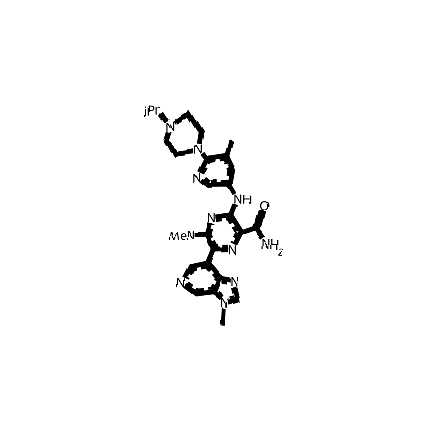 CNc1nc(Nc2cnc(N3CCN(C(C)C)CC3)c(C)c2)c(C(N)=O)nc1-c1cncc2c1ncn2C